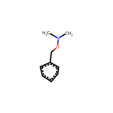 CN(C)OCc1ccccc1